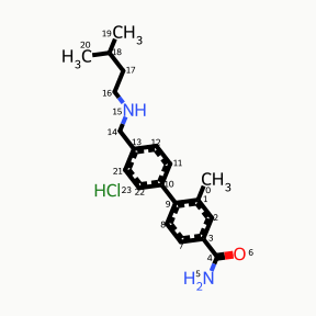 Cc1cc(C(N)=O)ccc1-c1ccc(CNCCC(C)C)cc1.Cl